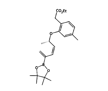 C=C(/C=C\[C@H](C)Oc1cc(C)ccc1CC(=O)OCC)B1OC(C)(C)C(C)(C)O1